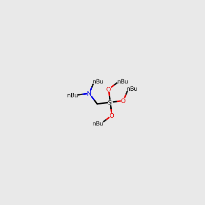 CCCCO[Si](CN(CCCC)CCCC)(OCCCC)OCCCC